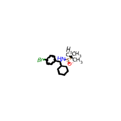 CC(C)(C)[S+]([O-])N[C@H](c1ccc(Br)cc1)C1CCCCC1